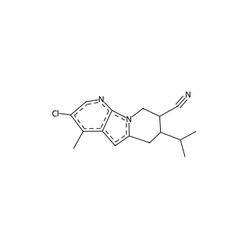 Cc1c(Cl)cnc2c1cc1n2CC(C#N)C(C(C)C)C1